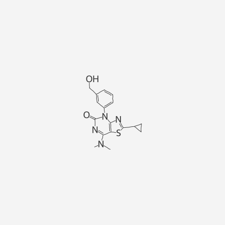 CN(C)c1nc(=O)n(-c2cccc(CO)c2)c2nc(C3CC3)sc12